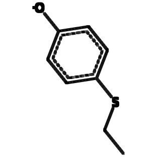 CCSc1ccc([O])cc1